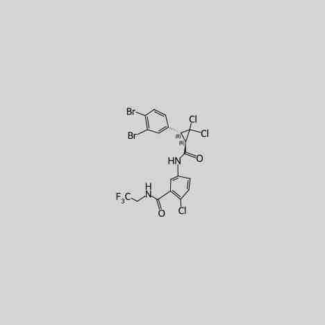 O=C(NCC(F)(F)F)c1cc(NC(=O)[C@H]2[C@H](c3ccc(Br)c(Br)c3)C2(Cl)Cl)ccc1Cl